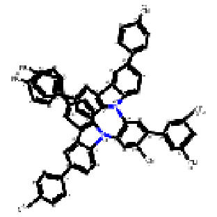 N#Cc1ccc(-c2ccc3c(c2)c2cc(-c4ccc(C#N)cc4)ccc2n3-c2cc(C#N)c(-c3cc(C#N)cc(C(F)(F)F)c3)cc2-n2c3ccc(-c4ccc(C#N)cc4)cc3c3cc(-c4ccc(C#N)cc4)ccc32)cc1